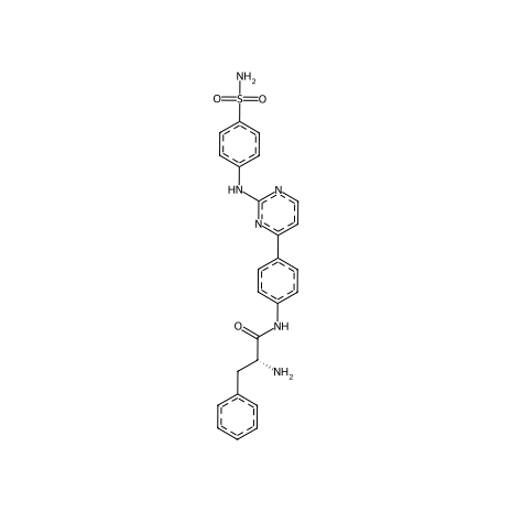 N[C@H](Cc1ccccc1)C(=O)Nc1ccc(-c2ccnc(Nc3ccc(S(N)(=O)=O)cc3)n2)cc1